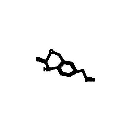 CSCc1ccc2c(c1)COC(=O)N2